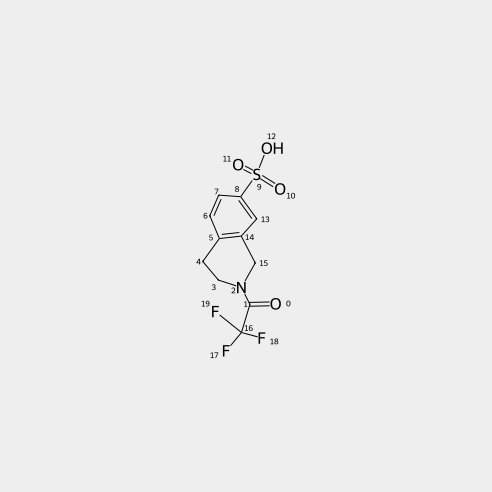 O=C(N1CCc2ccc(S(=O)(=O)O)cc2C1)C(F)(F)F